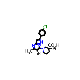 Cc1nc2cc(-c3ccc(Cl)cc3)nn2c(N2CCC[C@](C(=O)O)(C(C)C)C2)c1C(C)C